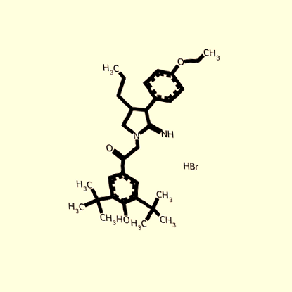 Br.CCCC1CN(CC(=O)c2cc(C(C)(C)C)c(O)c(C(C)(C)C)c2)C(=N)C1c1ccc(OCC)cc1